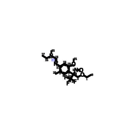 CCOCC(N=O)(c1cc(C)c(/N=C/N(C)CC)cc1OC)C(F)(F)F